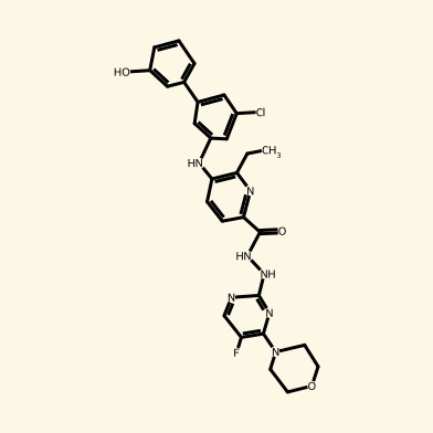 CCc1nc(C(=O)NNc2ncc(F)c(N3CCOCC3)n2)ccc1Nc1cc(Cl)cc(-c2cccc(O)c2)c1